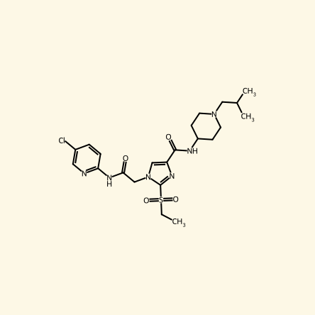 CCS(=O)(=O)c1nc(C(=O)NC2CCN(CC(C)C)CC2)cn1CC(=O)Nc1ccc(Cl)cn1